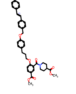 COC(=O)c1ccc(OCCCc2ccc(OCc3ccc(/C=C/c4ccccc4)cc3)cc2)c(C(=O)N2CCC(C(=O)OC)CC2)c1